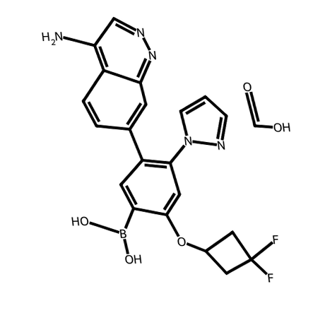 Nc1cnnc2cc(-c3cc(B(O)O)c(OC4CC(F)(F)C4)cc3-n3cccn3)ccc12.O=CO